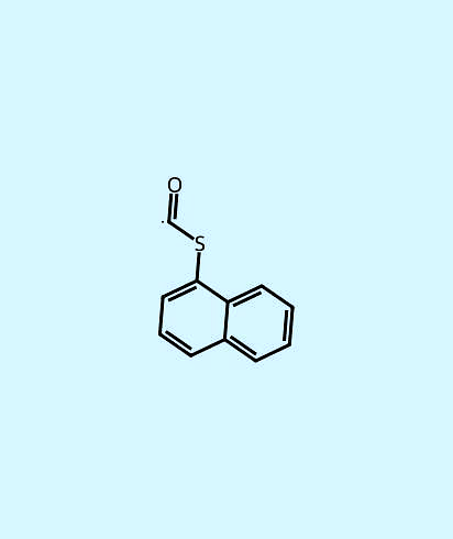 O=[C]Sc1cccc2ccccc12